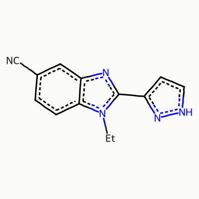 CCn1c(-c2cc[nH]n2)nc2cc(C#N)ccc21